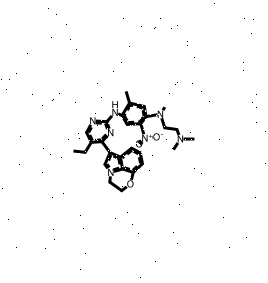 CCc1cnc(Nc2cc([N+](=O)[O-])c(N(C)CCN(C)C)cc2C)nc1-c1cn2c3c(cccc13)OCC2